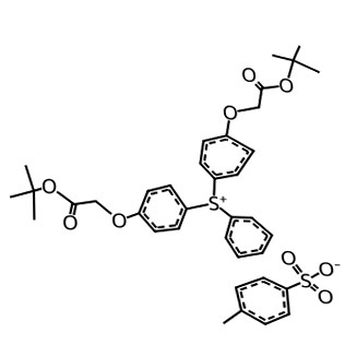 CC(C)(C)OC(=O)COc1ccc([S+](c2ccccc2)c2ccc(OCC(=O)OC(C)(C)C)cc2)cc1.Cc1ccc(S(=O)(=O)[O-])cc1